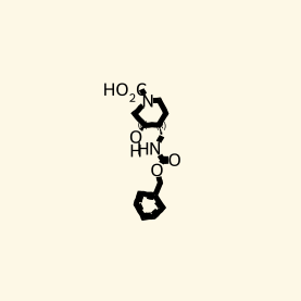 O=C(NC[C@H]1CCN(C(=O)O)C[C@@H]1O)OCc1ccccc1